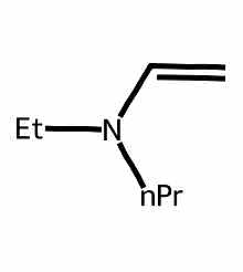 C=CN(CC)CCC